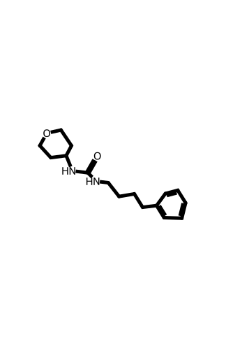 O=C(NCCCCc1ccccc1)NC1CCOCC1